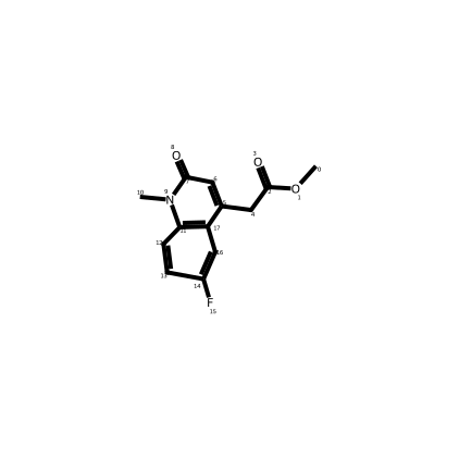 COC(=O)Cc1cc(=O)n(C)c2ccc(F)cc12